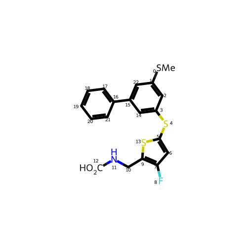 CSc1cc(Sc2cc(F)c(CNC(=O)O)s2)cc(-c2ccccc2)c1